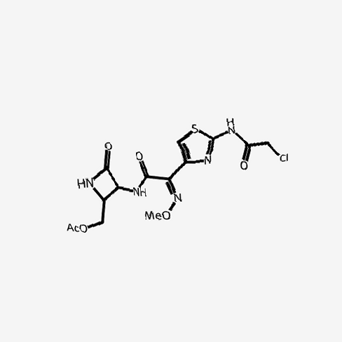 CON=C(C(=O)NC1C(=O)NC1COC(C)=O)c1csc(NC(=O)CCl)n1